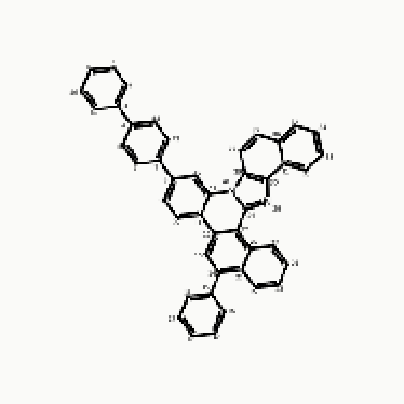 c1ccc(-c2ccc(-c3ccc4c5cc(-c6ccccc6)c6ccccc6c5c5nc6c7ccccc7ccc6n5c4c3)cc2)cc1